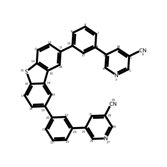 N#Cc1cncc(-c2cccc(-c3ccc4sc5ccc(-c6cccc(-c7cncc(C#N)c7)c6)cc5c4c3)c2)c1